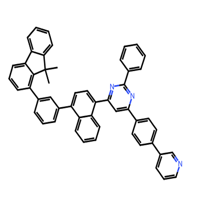 CC1(C)c2ccccc2-c2cccc(-c3cccc(-c4ccc(-c5cc(-c6ccc(-c7cccnc7)cc6)nc(-c6ccccc6)n5)c5ccccc45)c3)c21